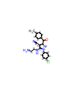 Cc1ccc(C(=O)c2nn(-c3ccc(Cl)cc3)c(NCCN)c2C#N)cc1